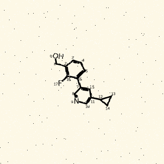 OCc1cccc(-c2cncc(C3CC3)c2)c1F